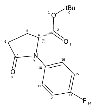 CC(C)(C)OC(=O)[C@H]1CCC(=O)N1c1ccc(F)cc1